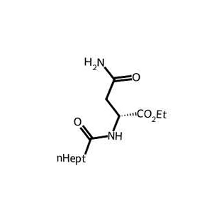 CCCCCCCC(=O)N[C@H](CC(N)=O)C(=O)OCC